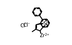 CC1=C2c3c(ccc(c3-c3ccccc3)[Si]2(C)C)[CH]1[Zr+2].[Cl-].[Cl-]